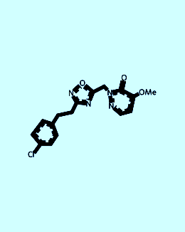 COc1ccnn(Cc2nc(CCc3ccc(Cl)cc3)no2)c1=O